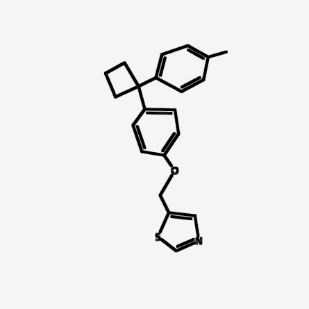 Cc1ccc(C2(c3ccc(OCc4cncs4)cc3)CCC2)cc1